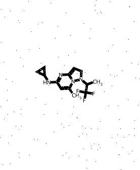 CC1=CC(NC2CC2)=NC2=CCN(C(C)C(F)(F)F)N12